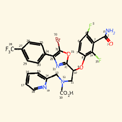 NC(=O)c1c(F)ccc(OC(CN(Cc2ccccn2)C(=O)O)c2nc(-c3ccc(C(F)(F)F)cc3)c(Br)o2)c1F